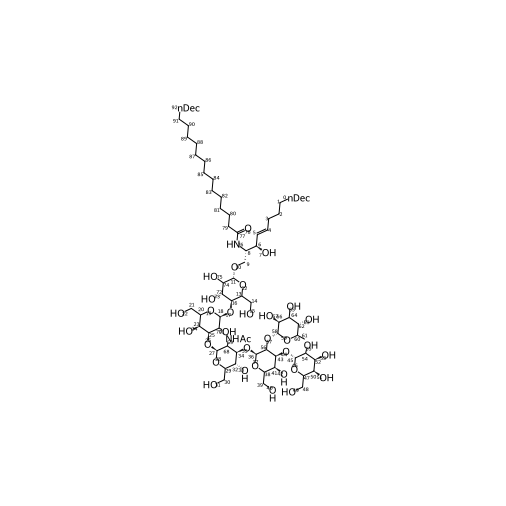 CCCCCCCCCCCCC/C=C/[C@@H](O)[C@H](CO[C@@H]1OC(CO)[C@@H](O[C@@H]2OC(CO)[C@H](O)[C@H](O[C@@H]3OC(CO)[C@@H](O)[C@H](O[C@@H]4OC(CO)[C@H](O)[C@H](O[C@H]5OC(CO)[C@H](O)[C@H](O)C5O)C4O[C@H]4OC(C)[C@@H](O)C(O)[C@@H]4O)C3NC(C)=O)C2O)[C@H](O)C1O)NC(=O)CCCCCCCCCCCCCCCCCCCCCCC